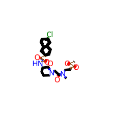 CN(CCS(C)(=O)=O)C(=O)CN1CCC[C@H](NS(=O)(=O)c2ccc3cc(Cl)ccc3c2)C1=O